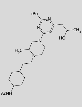 CC(=O)NC1CCC(CCN2CCN(c3cc(CC(C)O)nc(C(C)(C)C)n3)CC2C)CC1